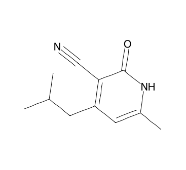 Cc1cc(CC(C)C)c(C#N)c(=O)[nH]1